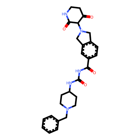 O=C(NC(=O)c1ccc2c(c1)CN(C1C(=O)CCNC1=O)C2)NC1CCN(Cc2ccccc2)CC1